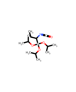 CCC(N=C=O)[Si](OC(C)C)(OC(C)C)OC(C)C